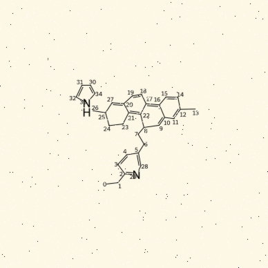 CCc1ccc(CCC2C=c3cc(C)ccc3=c3ccc4c(c32)CCC(C)C=4)cn1.c1cc[nH]c1